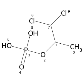 CC(OP(=O)(O)O)C(Cl)Cl